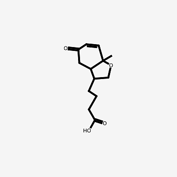 CC12C=CC(=O)CC1C(CCCC(=O)O)CO2